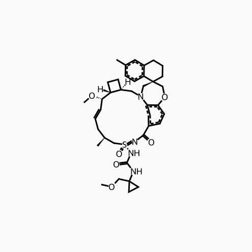 COCC1(NC(=O)N[S@@]2(=O)=NC(=O)c3ccc4c(c3)N(C[C@@H]3CC[C@H]3[C@@H](OC)/C=C/C[C@H](C)C2)C[C@@]2(CCCc3cc(C)ccc32)CO4)CC1